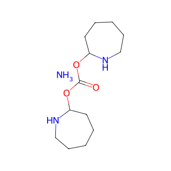 N.O=C(OC1CCCCCN1)OC1CCCCCN1